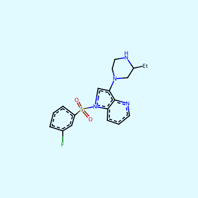 CCC1CN(c2cn(S(=O)(=O)c3cccc(F)c3)c3cccnc23)CCN1